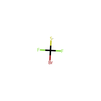 FC(F)([S])Br